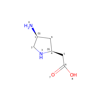 N[C@@H]1CN[C@H](CC(=O)O)C1